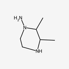 CC1NCCN(N)C1C